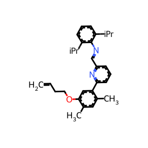 C=CCCOc1cc(-c2cccc(C=Nc3c(C(C)C)cccc3C(C)C)n2)c(C)cc1C